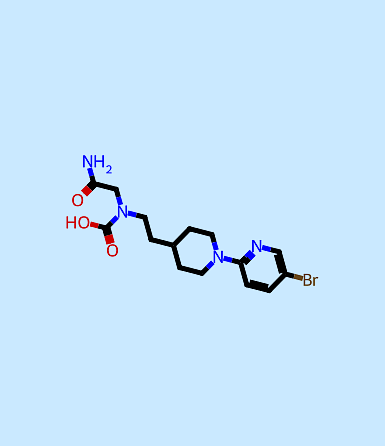 NC(=O)CN(CCC1CCN(c2ccc(Br)cn2)CC1)C(=O)O